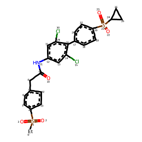 CCS(=O)(=O)c1ccc(CC(=O)Nc2cc(Cl)c(-c3ccc(S(=O)(=O)C4CC4)cc3)c(Cl)c2)cc1